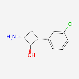 N[C@@H]1C[C@H](c2cccc(Cl)c2)[C@H]1O